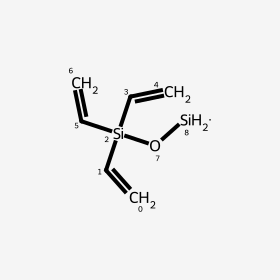 C=C[Si](C=C)(C=C)O[SiH2]